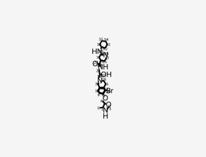 CC1NCOC1COc1ccc2c(c1Br)CCN(C[C@@H](O)CNC(=O)C1CCN=C(NC3CCCCC3)C1)C2